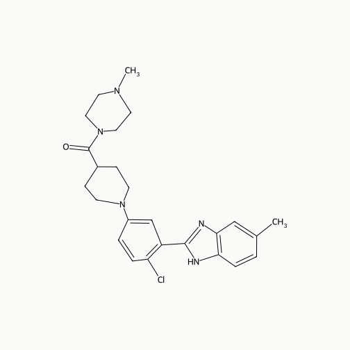 Cc1ccc2[nH]c(-c3cc(N4CCC(C(=O)N5CCN(C)CC5)CC4)ccc3Cl)nc2c1